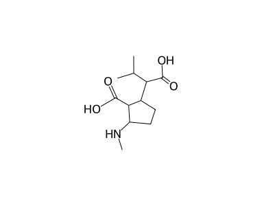 CNC1CCC(C(C(=O)O)C(C)C)C1C(=O)O